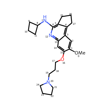 COc1cc2c3c(c(NC4CCC4)nc2cc1OCCCN1CCCC1)CCC3